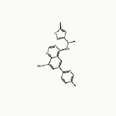 COc1cc(-c2ccc(C)cn2)cc2c(NC(C)c3noc(C)n3)ncnc12